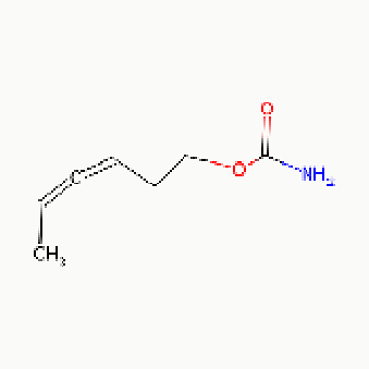 CC=C=CCCOC(N)=O